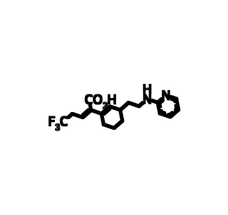 O=C(O)C(=CCC(F)(F)F)C1=CC(CCNc2ccccn2)CCC1